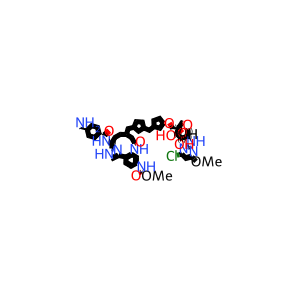 COC(=O)Nc1ccc2c(c1)NC(=O)CC(CC1CCC(CC3CCC(OC[C@@]45CO[C@@H](O4)[C@H](Nc4nc(Cl)cc(OC)n4)[C@@H](O)[C@H]5O)C3)C1)CC[C@H](NC(=O)[C@H]1CC[C@H](CN)CC1)c1nc-2c[nH]1